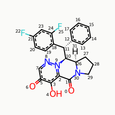 O=C1c2c(O)c(=O)cnn2[C@@H]([C@@H](c2ccccc2)c2ccc(F)cc2F)[C@H]2CCCN12